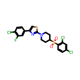 O=S(=O)(c1ccc(Cl)cc1Cl)C1CCN(c2nc(-c3ccc(Cl)c(F)c3)cs2)CC1